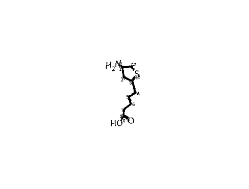 NC1[CH]C(CCCCC(=O)O)SC1